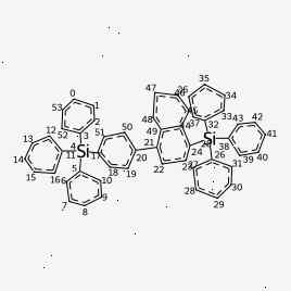 c1ccc([Si](c2ccccc2)(c2ccccc2)c2ccc(-c3ccc([Si](c4ccccc4)(c4ccccc4)c4ccccc4)c4ccccc34)cc2)cc1